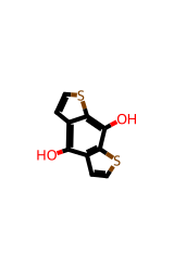 Oc1c2ccsc2c(O)c2sccc12